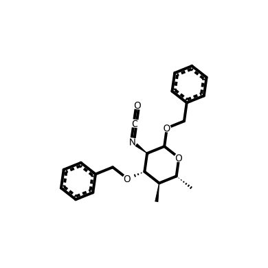 C[C@H]1[C@H](OCc2ccccc2)[C@@H](N=C=O)C(OCc2ccccc2)O[C@@H]1C